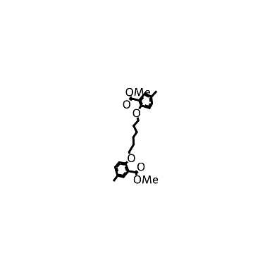 COC(=O)c1cc(C)ccc1OCCCCCCOc1ccc(C)cc1C(=O)OC